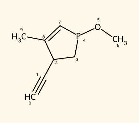 C#CC1CP(OC)C=C1C